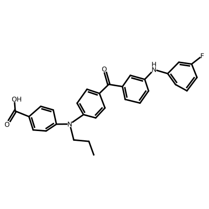 CCCN(c1ccc(C(=O)O)cc1)c1ccc(C(=O)c2cccc(Nc3cccc(F)c3)c2)cc1